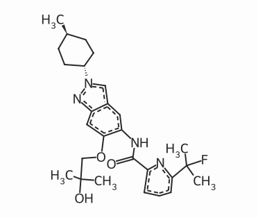 CC(C)(O)COc1cc2nn([C@H]3CC[C@H](C)CC3)cc2cc1NC(=O)c1cccc(C(C)(C)F)n1